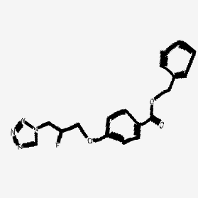 O=C(OCc1ccccc1)c1ccc(OCC(F)Cn2cnnn2)cc1